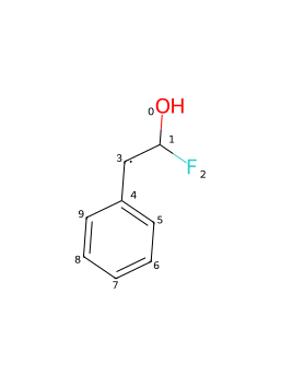 OC(F)[CH]c1ccccc1